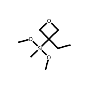 CCC1([Si](C)(OC)OC)COC1